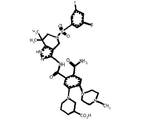 CN1CCN(c2cc(C(N)=O)c(C(=O)Nc3n[nH]c4c3CN(S(=O)(=O)c3cc(F)cc(F)c3)CC4(C)C)cc2N2CCCC(C(=O)O)C2)CC1